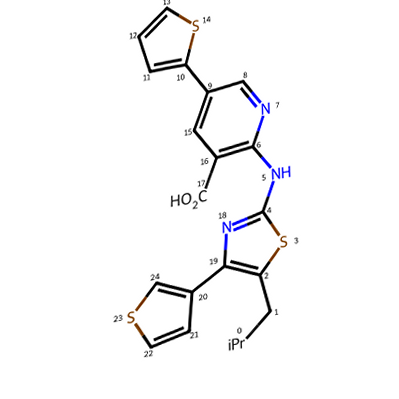 CC(C)Cc1sc(Nc2ncc(-c3cccs3)cc2C(=O)O)nc1-c1ccsc1